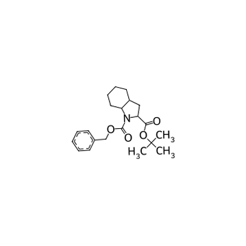 CC(C)(C)OC(=O)C1CC2CCCCC2N1C(=O)OCc1ccccc1